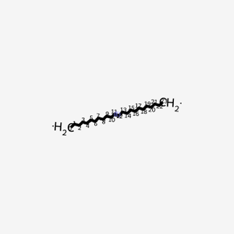 [CH2]CCCCCCCCCC/C=C/CCCCCCCCCC[CH2]